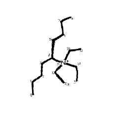 CCCCC(CCCC)[N+](CC)(CC)CC